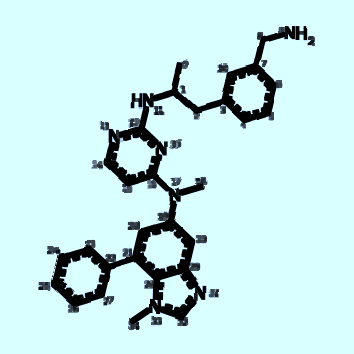 CC(Cc1cccc(CN)c1)Nc1nccc(N(C)c2cc(-c3ccccc3)c3c(c2)ncn3C)n1